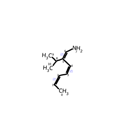 C\C=C/C=C\C(=C/N)C(C)C